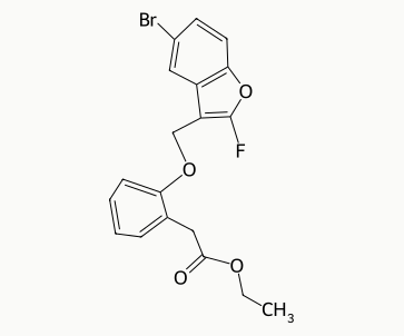 CCOC(=O)Cc1ccccc1OCc1c(F)oc2ccc(Br)cc12